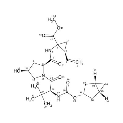 C=C[C@@H]1CC1(NC(=O)[C@@H]1C[C@H](O)CN1C(=O)[C@@H](NC(=O)O[C@@H]1C[C@@H]2C[C@@H]2C1)C(C)(C)C)C(=O)OC